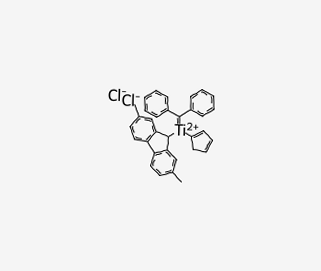 Cc1ccc2c(c1)[CH]([Ti+2]([C]1=CC=CC1)=[C](c1ccccc1)c1ccccc1)c1cc(C)ccc1-2.[Cl-].[Cl-]